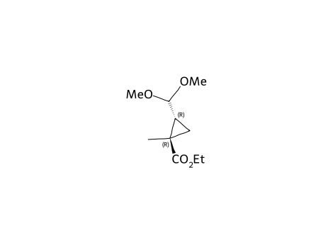 CCOC(=O)[C@]1(C)C[C@H]1C(OC)OC